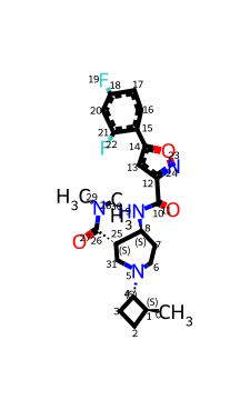 C[C@H]1CC[C@@H]1N1CC[C@H](NC(=O)c2cc(-c3ccc(F)cc3F)on2)[C@@H](C(=O)N(C)C)C1